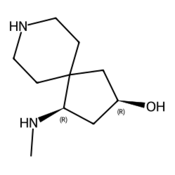 CN[C@@H]1C[C@H](O)CC12CCNCC2